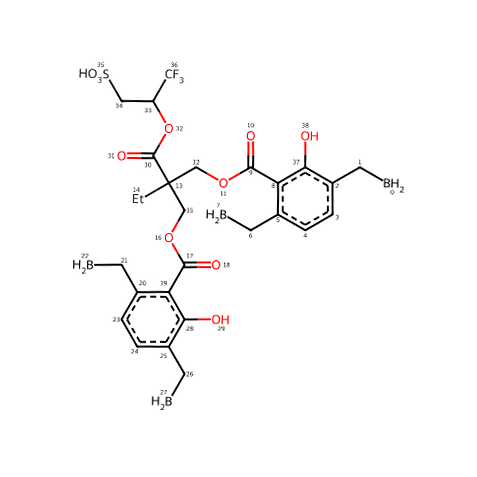 BCc1ccc(CB)c(C(=O)OCC(CC)(COC(=O)c2c(CB)ccc(CB)c2O)C(=O)OC(CS(=O)(=O)O)C(F)(F)F)c1O